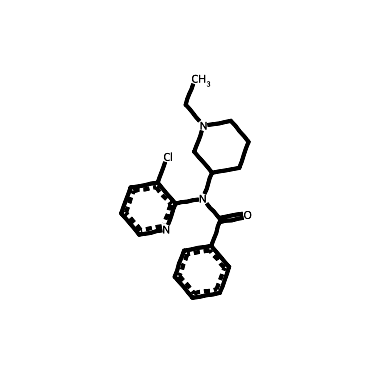 CCN1CCCC(N(C(=O)c2ccccc2)c2ncccc2Cl)C1